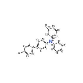 Cc1ccc(-c2ccc(N(c3ccccc3)c3cccc(C)c3)cc2)cc1